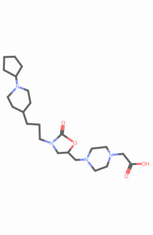 O=C(O)CN1CCN(CC2CN(CCCC3CCN(C4CCCC4)CC3)C(=O)O2)CC1